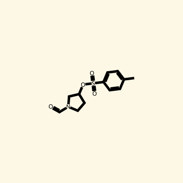 Cc1ccc(S(=O)(=O)OC2CCN(C=O)C2)cc1